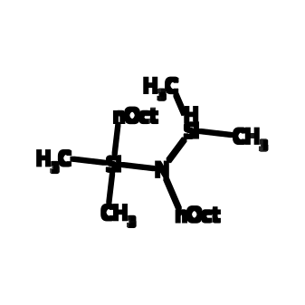 CCCCCCCCN([SiH](C)C)[Si](C)(C)CCCCCCCC